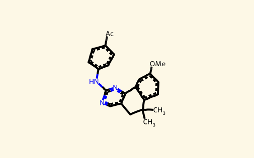 COc1ccc2c(c1)-c1nc(Nc3ccc(C(C)=O)cc3)ncc1CC2(C)C